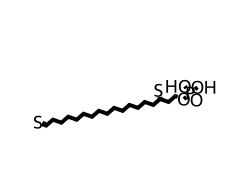 O=P(O)(O)OCCC(=S)CCCCCCCCCCCCCCC=S